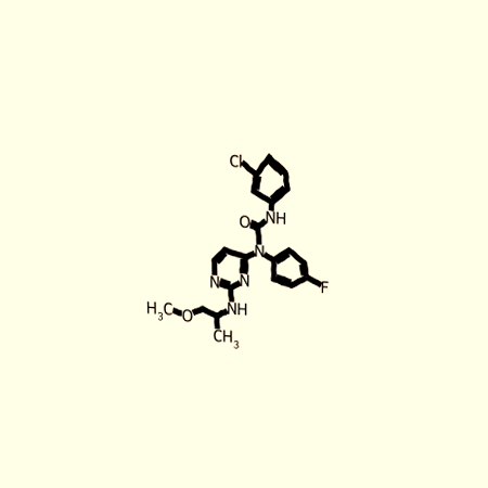 COCC(C)Nc1nccc(N(C(=O)Nc2cccc(Cl)c2)c2ccc(F)cc2)n1